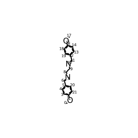 COc1ccc(C=NCCN=Cc2ccc(OC)cc2)cc1